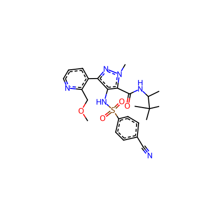 COCc1ncccc1-c1nn(C)c(C(=O)NC(C)C(C)(C)C)c1NS(=O)(=O)c1ccc(C#N)cc1